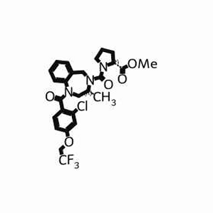 COC(=O)[C@H]1CCCN1C(=O)N1Cc2ccccc2N(C(=O)c2ccc(OCC(F)(F)F)cc2Cl)C[C@H]1C